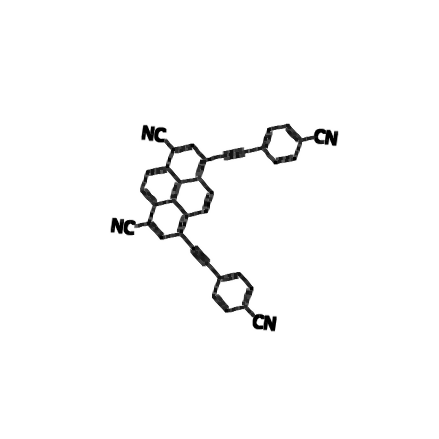 N#Cc1ccc(C#Cc2cc(C#N)c3ccc4c(C#N)cc(C#Cc5ccc(C#N)cc5)c5ccc2c3c45)cc1